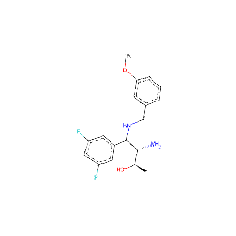 CC(C)Oc1cccc(CNC(c2cc(F)cc(F)c2)[C@H](N)[C@@H](C)O)c1